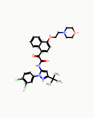 CC(C)(C)c1cc(NC(=O)C(=O)c2ccc(OCCN3CCOCC3)c3ccccc23)n(-c2ccc(Cl)c(Cl)c2)n1